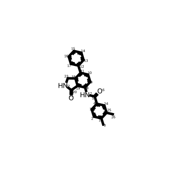 Cc1ccc(C(=O)Nc2ccc(-c3ccccc3)c3c2C(=O)NC3)cc1C